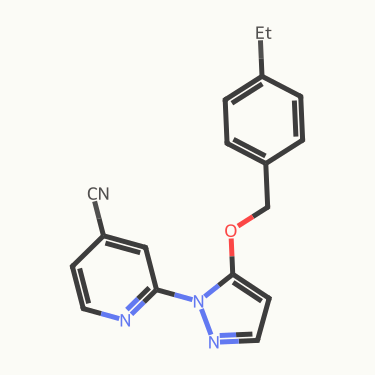 CCc1ccc(COc2ccnn2-c2cc(C#N)ccn2)cc1